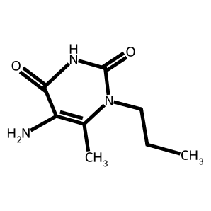 CCCn1c(C)c(N)c(=O)[nH]c1=O